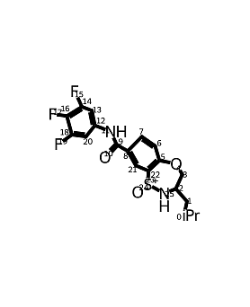 CC(C)CC1COc2ccc(C(=O)Nc3cc(F)c(F)c(F)c3)cc2[S+]([O-])N1